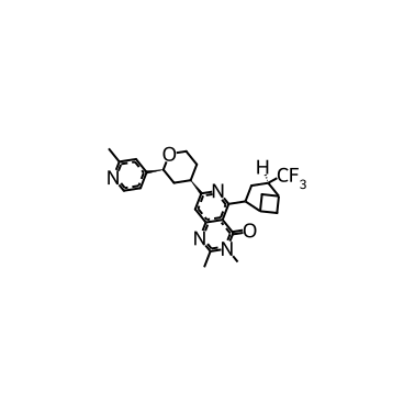 Cc1cc([C@@H]2C[C@H](c3cc4nc(C)n(C)c(=O)c4c(C4C[C@@H](C(F)(F)F)C5CC4C5)n3)CCO2)ccn1